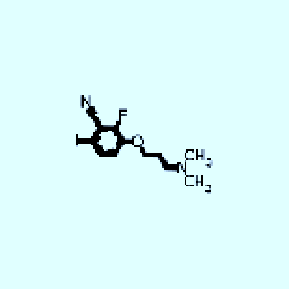 CN(C)CCCOc1ccc(I)c(C#N)c1F